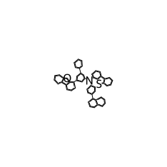 c1ccc(-c2cc(-c3cccc4c3oc3ccccc34)cc(N(c3ccc(-c4cccc5ccccc45)cc3)c3cccc4c3sc3ccccc34)c2)cc1